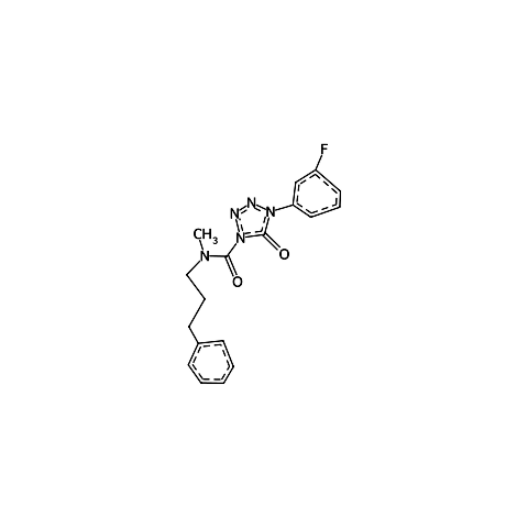 CN(CCCc1ccccc1)C(=O)n1nnn(-c2cccc(F)c2)c1=O